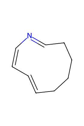 C1=C\N=C\CCCC/C=C/1